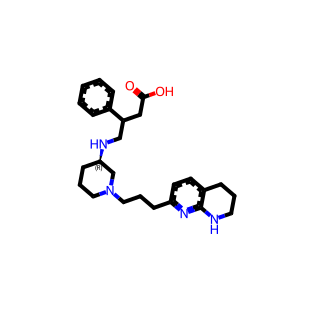 O=C(O)CC(CN[C@@H]1CCCN(CCCc2ccc3c(n2)NCCC3)C1)c1ccccc1